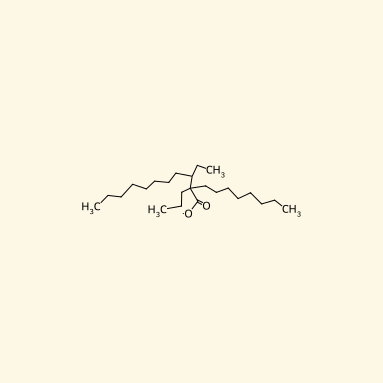 CCCCCCCCC(CC)C(CCC)(CCCCCCCC)C([O])=O